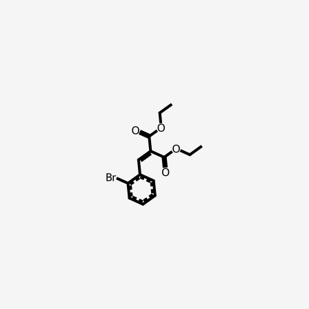 CCOC(=O)C(=Cc1ccccc1Br)C(=O)OCC